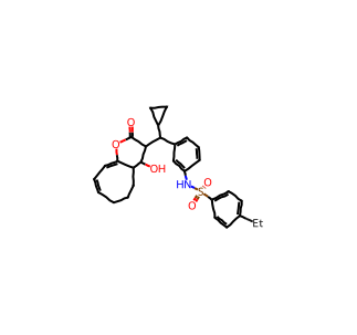 CCc1ccc(S(=O)(=O)Nc2cccc(C(C3CC3)C3C(=O)OC4=CC=CCCCC4C3O)c2)cc1